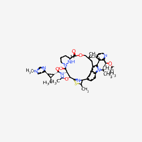 CCO[C@@H]1C2=NC(c3ccc4c(c3)c(c(-c3cccnc3[C@H](C)OC)n4CC)CC(C)(C)COC(=O)[C@@H]3CCCN(N3)C(=O)[C@H]1NC(=O)[C@@H]1[C@@H](C)[C@H]1c1cn(C)cn1)C(C)S2